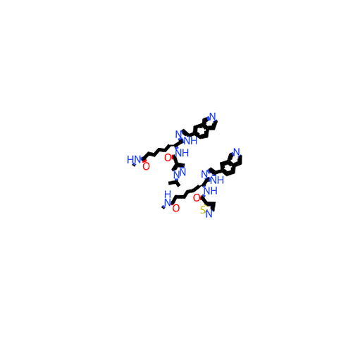 CNC(=O)CCCCC[C@H](NC(=O)c1ccns1)c1ncc(-c2ccc3ccncc3c2)[nH]1.CNC(=O)CCCCC[C@H](NC(=O)c1cnn(C(C)C)c1)c1ncc(-c2ccc3ccncc3c2)[nH]1